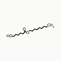 CCCCCCCCCOC(=O)CCCCCO